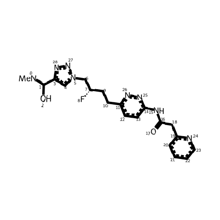 CNC(O)c1cn(C[C@@H](F)CCc2ccc(NC(=O)Cc3ccccn3)nn2)nn1